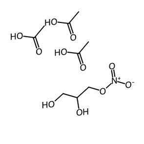 CC(=O)O.CC(=O)O.CC(=O)O.O=[N+]([O-])OCC(O)CO